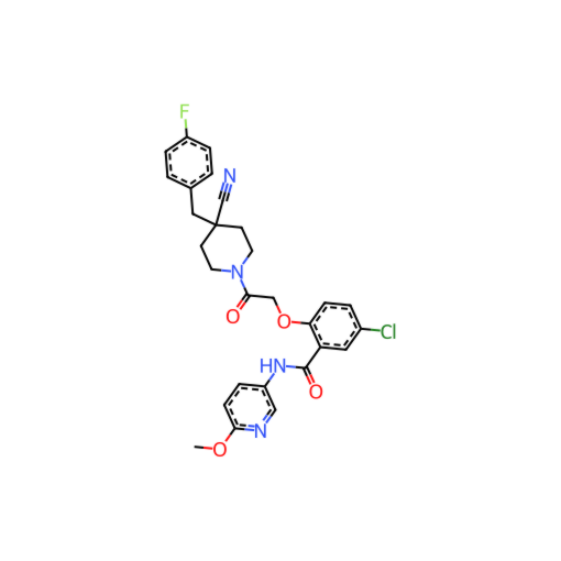 COc1ccc(NC(=O)c2cc(Cl)ccc2OCC(=O)N2CCC(C#N)(Cc3ccc(F)cc3)CC2)cn1